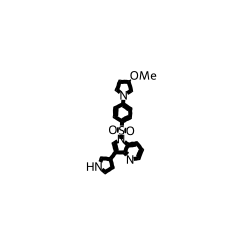 CO[C@H]1CCN(c2ccc(S(=O)(=O)n3cc(C4CCNC4)c4ncccc43)cc2)C1